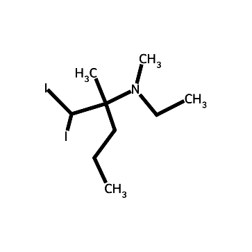 CCCC(C)(C(I)I)N(C)CC